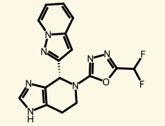 FC(F)c1nnc(N2CCc3[nH]cnc3[C@@H]2c2cc3ccccn3n2)o1